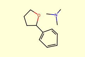 CN(C)C.c1ccc(C2CCCO2)cc1